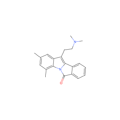 Cc1cc(C)c2c(c1)c(CCN(C)C)c1n2C(=O)c2ccccc2-1